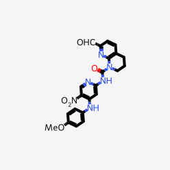 COc1ccc(Nc2cc(NC(=O)N3CCCc4ccc(C=O)nc43)ncc2[N+](=O)[O-])cc1